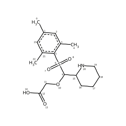 Cc1cc(C)c(S(=O)(=O)C(OCC(=O)O)C2CCCCN2)c(C)c1